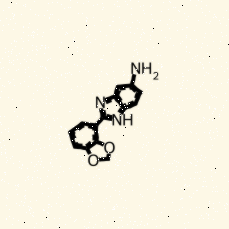 Nc1ccc2[nH]c(-c3cccc4c3OCO4)nc2c1